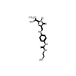 CCOC(=O)C(C#N)=c1sc(=CNc2ccc(NC(=S)NCCO)cc2)c(=O)n1CC